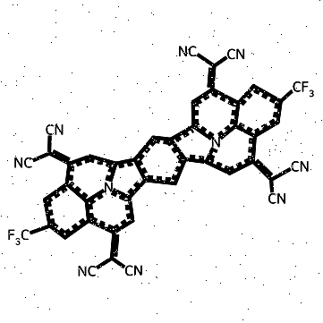 N#CC(C#N)=c1cc2c3cc4c(cc3c3cc(=C(C#N)C#N)c5cc(C(F)(F)F)cc1c5n23)c1cc(=C(C#N)C#N)c2cc(C(F)(F)F)cc3c(=C(C#N)C#N)cc4n1c32